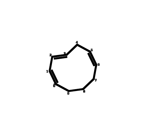 [C]1=C\C=C\C/C=C\CCC/1